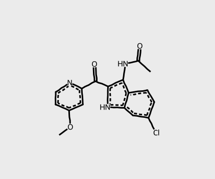 COc1ccnc(C(=O)c2[nH]c3cc(Cl)ccc3c2NC(C)=O)c1